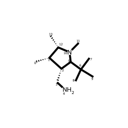 C[C@H]1[C@@H](CN)C(C(C)(C)C)N(C)[C@H]1C